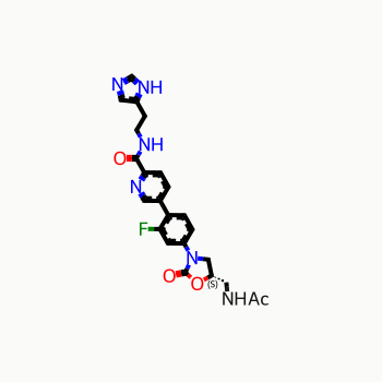 CC(=O)NC[C@H]1CN(c2ccc(-c3ccc(C(=O)NCCc4cnc[nH]4)nc3)c(F)c2)C(=O)O1